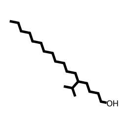 CCCCCCCCCCCCC(CCCCO)C(C)C